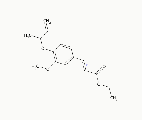 C=CC(C)Oc1ccc(/C=C/C(=O)OCC)cc1OC